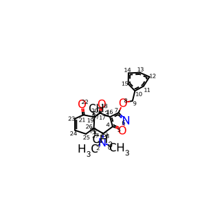 CN(C)[C@@H]1c2onc(OCc3ccccc3)c2C(=O)[C@@]2(C)C(=O)C=CC[C@@]12C